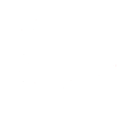 CCCCC(CCCC)C(=O)OCC(COC(C)=O)OC(C)=O.O=C(O)CCCCCCCCC(=O)O